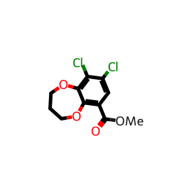 COC(=O)c1cc(Cl)c(Cl)c2c1OCCCO2